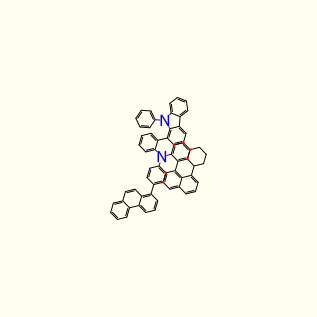 c1ccc(-n2c3ccccc3c3cccc(-c4ccccc4N(c4ccc(-c5cccc6c5ccc5ccccc56)cc4)c4ccccc4-c4cccc5cccc(C6CCCCC6)c45)c32)cc1